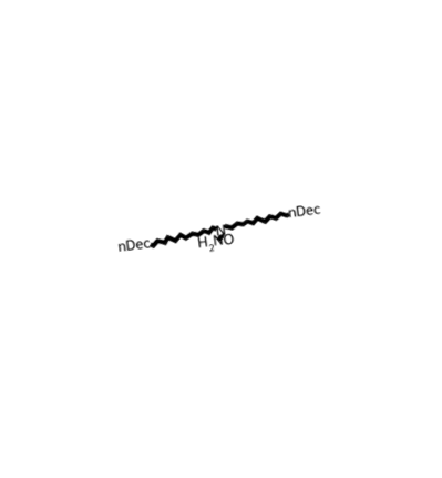 CCCCCCCCCCCCCCCCCCCCCCN(CCCCCCCCCCCCCCCCCCCCCC)C(N)=O